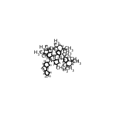 Cc1cc2c3c(c1)N(c1cc4c(cc1C)C(C)(C)CCC4(C)C)c1cc4c(cc1B3c1cc3c(cc1N2c1ccc2sc5ccccc5c2c1)C(C)(C)CC3(C)C)C(C)(C)CCC4(C)C